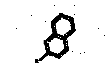 Brc1ccc2c[c]ncc2n1